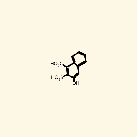 O=C(O)c1c(S(=O)(=O)O)c(O)cc2ccccc12